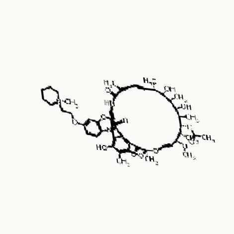 CO[C@H]1/C=C/O[C@@]2(C)Oc3c(C)c(O)c4c(=O)c(c5oc6cc(OCC[N+]7(C)CCCCC7)ccc6nc-5c4c3C2=O)NC(=O)/C(C)=C\C=C\[C@H](C)[C@H](O)[C@@H](C)[C@@H](O)[C@@H](C)[C@H](OC(C)=O)[C@@H]1C